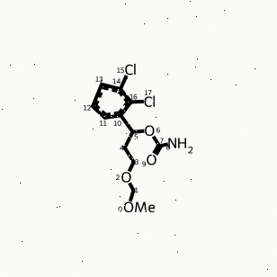 COCOCCC(OC(N)=O)c1cccc(Cl)c1Cl